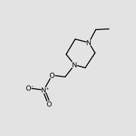 CCN1CCN(CO[N+](=O)[O-])CC1